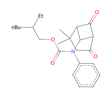 CCCCC(CC)COC(=O)N(c1ccccc1)C1C2C(=O)CC(C)(C)C1C2=O